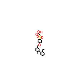 CCc1ccccc1-c1cc(COc2ccc(S(=O)(=O)CC(=O)O)cc2)ccc1C